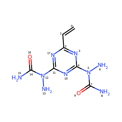 C=Cc1nc(N(N)C(N)=O)nc(N(N)C(N)=O)n1